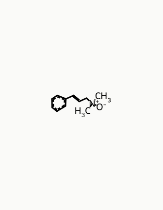 C[N+](C)([O-])CC=Cc1ccccc1